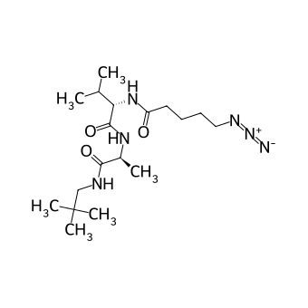 CC(C)[C@H](NC(=O)CCCCN=[N+]=[N-])C(=O)N[C@@H](C)C(=O)NCC(C)(C)C